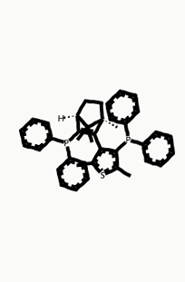 Cc1sc(C)c(P(c2ccccc2)c2ccccc2)c1C1=C(P(c2ccccc2)c2ccccc2)[C@H]2CC[C@]1(C)C2(C)C